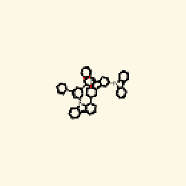 c1ccc(-c2cc(-c3ccccc3)cc(-n3c4ccccc4c4cccc(-c5ccc6c(c5)c5cc(-n7c8ccccc8c8ccccc87)ccc5n6-c5ccccc5)c43)c2)cc1